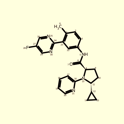 Cc1ccc(NC(=O)[C@H]2CC[C@H](C3CC3)N2c2ccccn2)cc1-c1ncc(F)cn1